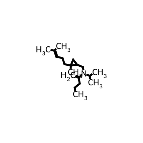 C=C(CCC)N(CC1CC1(C)CCC=C(C)C)C(C)C